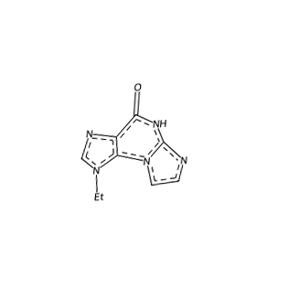 CCn1cnc2c(=O)[nH]c3nccn3c21